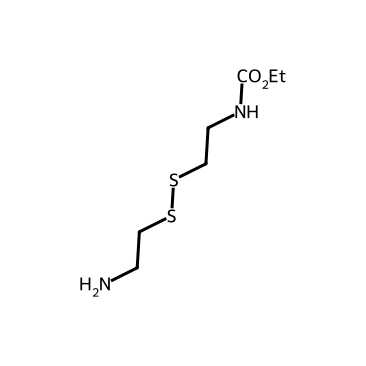 CCOC(=O)NCCSSCCN